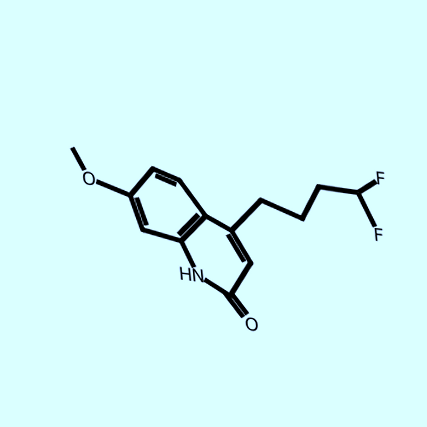 COc1ccc2c(CCCC(F)F)cc(=O)[nH]c2c1